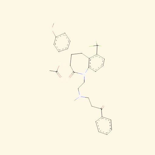 COc1ccc([C@@H]2Cc3c(cccc3C(F)(F)F)N(CCN(C)CCC(=O)c3ccccc3)C(=O)[C@@H]2OC(C)=O)cc1